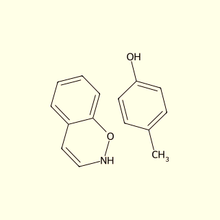 C1=Cc2ccccc2ON1.Cc1ccc(O)cc1